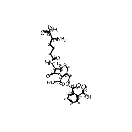 NC(CCCC(=O)N[C@@H]1C(=O)N2C(C(=O)O)=C(COC(=O)c3ccccc3C(=O)O)CS[C@@H]12)C(=O)O